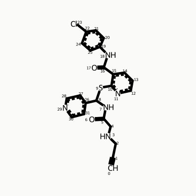 C#CCNCC(=O)NC(Sc1ncccc1C(=O)Nc1ccc(Cl)cc1)c1ccncc1